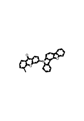 Cc1cccc2c(=O)c3ccc(-n4c5ccccc5c5c6oc7ccccc7c6ccc54)cc3oc12